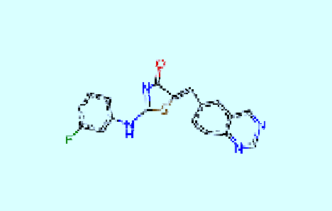 O=C1N=C(Nc2cccc(F)c2)S/C1=C\c1ccc2ncncc2c1